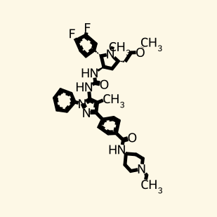 CCN1CCC(NC(=O)c2ccc(-c3nn(-c4ccccc4)c(NC(=O)N[C@@H]4C[C@@H](CCOC)N(C)[C@H]4c4ccc(F)c(F)c4)c3C)cc2)CC1